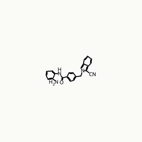 N#Cc1c2ccccc2cn1Cc1ccc(C(=O)Nc2ccccc2N)cc1